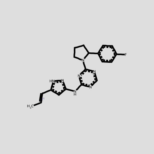 C/C=C/c1cc(Nc2ncnc(N3CCCC3c3ccc(F)cc3)n2)n[nH]1